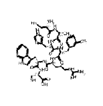 Cc1cccc(C[C@@H](NC(=O)[C@H](Cc2c[nH]cn2)NC(=O)[C@@H](C)NC(=O)[C@@H](N)CS)C(=O)N[C@@H](CCCNC(=N)N)C(=O)N[C@@H](Cc2c[nH]c3ccccc23)C(=O)N[C@@H](CS)C(=O)O)c1